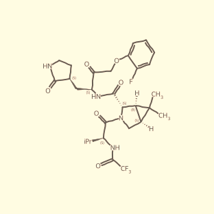 CC(C)[C@H](NC(=O)C(F)(F)F)C(=O)N1C[C@H]2[C@@H]([C@H]1C(=O)N[C@@H](C[C@@H]1CCNC1=O)C(=O)COc1ccccc1F)C2(C)C